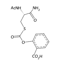 CC(=O)N[C@@H](CSC(=O)Oc1ccccc1C(=O)O)C(N)=O